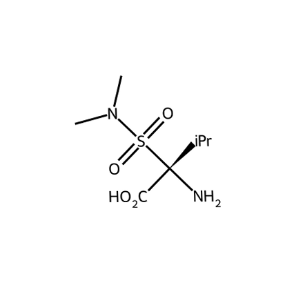 CC(C)[C@@](N)(C(=O)O)S(=O)(=O)N(C)C